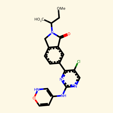 COCC(C(=O)O)N1Cc2ccc(-c3nc(NC4=CNOC=C4)ncc3Cl)cc2C1=O